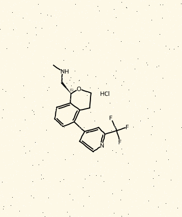 CNC[C@H]1OCCc2c(-c3ccnc(C(F)(F)F)c3)cccc21.Cl